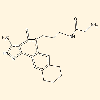 Cc1[nH]nc2c1c(=O)n(CCCNC(=O)CN)c1cc3c(cc21)CCCC3